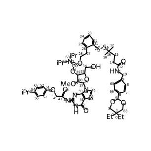 CCC1(CC)COC(c2ccc(CNC(=O)CCC(C)(C)SSc3ccccc3CCOP(OC3C(CO)OC(n4cnc5c(=O)[nH]c(NC(=O)COc6ccc(C(C)C)cc6)nc54)C3OC)N(C(C)C)C(C)C)cc2)OC1